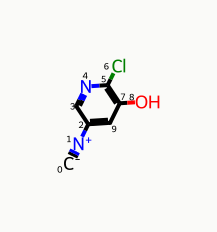 [C-]#[N+]c1cnc(Cl)c(O)c1